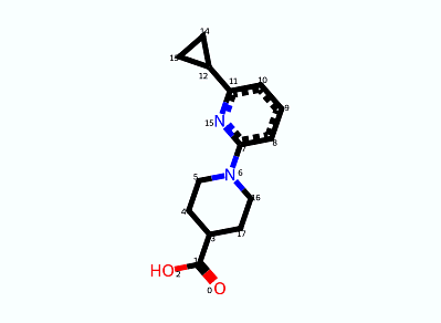 O=C(O)C1CCN(c2cccc(C3CC3)n2)CC1